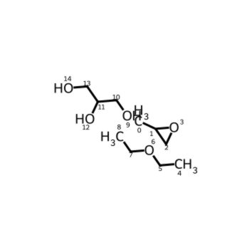 CC1CO1.CCOCC.OCC(O)CO